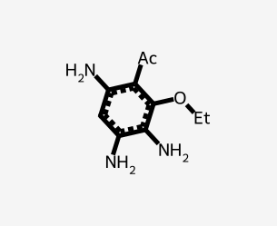 CCOc1c(N)c(N)cc(N)c1C(C)=O